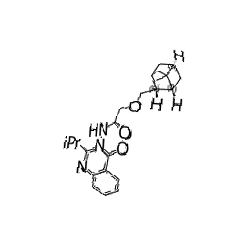 CC(C)c1nc2ccccc2c(=O)n1NC(=O)COC[C@@H]1CC[C@H]2C[C@H]1C2(C)C